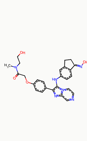 CN(CCO)C(=O)COc1ccc(-c2nc3cnccn3c2Nc2ccc3c(c2)CCC3=NO)cc1